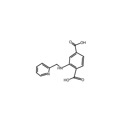 O=C(O)c1ccc(C(=O)O)c(NCc2ccccn2)c1